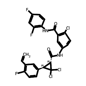 C=Cc1cc([C@H]2[C@H](C(=O)Nc3ccc(Cl)c(C(=O)Nc4ccc(F)cc4F)c3)C2(Cl)Cl)ccc1F